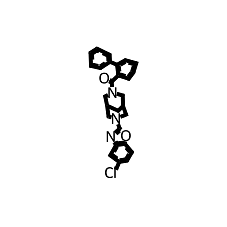 O=C(c1ccccc1-c1ccccc1)N1CC2CC(C1)CN(c1nc3cc(Cl)ccc3o1)C2